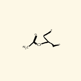 [CH2]C(=O)OC(CF)CF